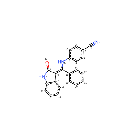 N#Cc1ccc(N/C(=C2\C(=O)Nc3ccccc32)c2ccccc2)cc1